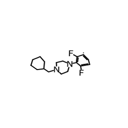 Fc1[c]ccc(F)c1N1CCN(CC2CCCCC2)CC1